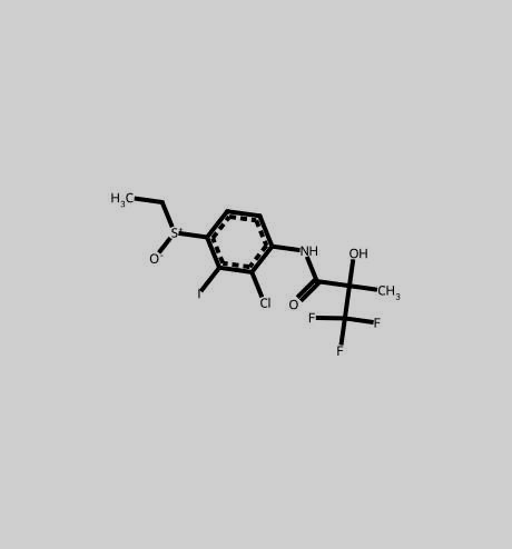 CC[S+]([O-])c1ccc(NC(=O)C(C)(O)C(F)(F)F)c(Cl)c1I